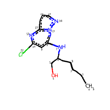 CCCCC(CO)Nc1cc(Cl)nc2ccnn12